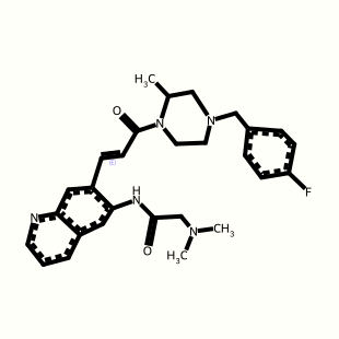 CC1CN(Cc2ccc(F)cc2)CCN1C(=O)/C=C/c1cc2ncccc2cc1NC(=O)CN(C)C